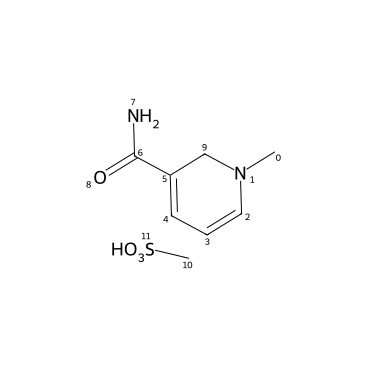 CN1C=CC=C(C(N)=O)C1.CS(=O)(=O)O